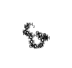 [2H]C([2H])([2H])n1c(=O)n(C2CCC(=O)NC2=O)c2ccc(CN3CCN(CC4CCN(C(=O)c5ccc(C6CCN([C@@H](C)c7cc8c(-c9ccc(N)nc9)ccnc8n7C)CC6)cc5)CC4)CC3)cc21